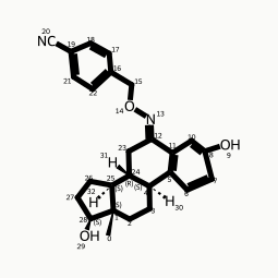 C[C@]12CC[C@@H]3c4ccc(O)cc4C(=NOCc4ccc(C#N)cc4)C[C@H]3[C@@H]1CC[C@@H]2O